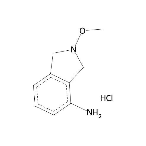 CON1Cc2cccc(N)c2C1.Cl